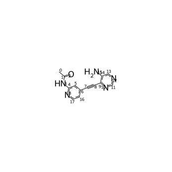 CC(=O)Nc1cc(C#Cc2ncncc2N)ccn1